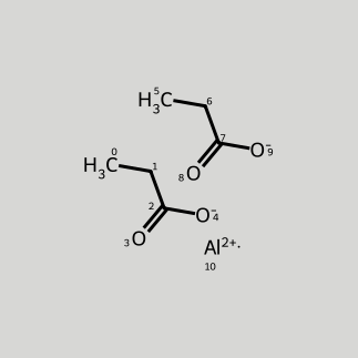 CCC(=O)[O-].CCC(=O)[O-].[Al+2]